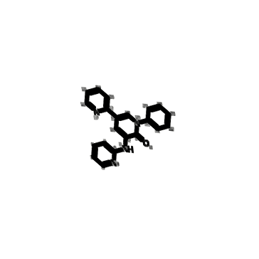 O=c1c(Nc2ccccn2)cc(-c2ccccn2)cn1-c1ccccc1